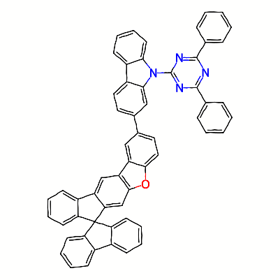 c1ccc(-c2nc(-c3ccccc3)nc(-n3c4ccccc4c4ccc(-c5ccc6oc7cc8c(cc7c6c5)-c5ccccc5C85c6ccccc6-c6ccccc65)cc43)n2)cc1